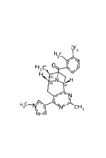 Cc1nc(-c2cnn(C)c2)c2c(n1)[C@H]1CC[C@H](C)[C@@H](C2)N1C(=O)c1cccc(C(F)(F)F)c1C